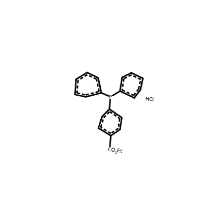 CCOC(=O)c1ccc(P(c2ccccc2)c2ccccc2)cc1.Cl